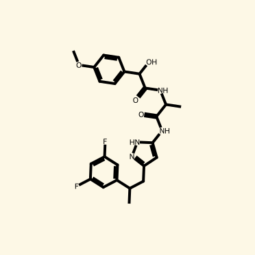 COc1ccc(C(O)C(=O)NC(C)C(=O)Nc2cc(CC(C)c3cc(F)cc(F)c3)n[nH]2)cc1